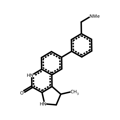 CNCc1cccc(-c2ccc3[nH]c(=O)c4c(c3c2)C(C)CN4)c1